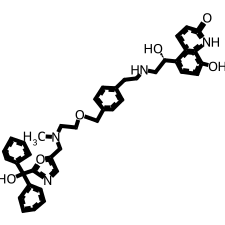 CN(CCOCc1ccc(CCNC[C@H](O)c2ccc(O)c3[nH]c(=O)ccc23)cc1)Cc1cnc(C(O)(c2ccccc2)c2ccccc2)o1